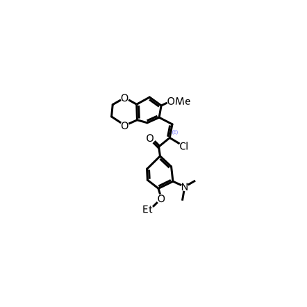 CCOc1ccc(C(=O)/C(Cl)=C\c2cc3c(cc2OC)OCCO3)cc1N(C)C